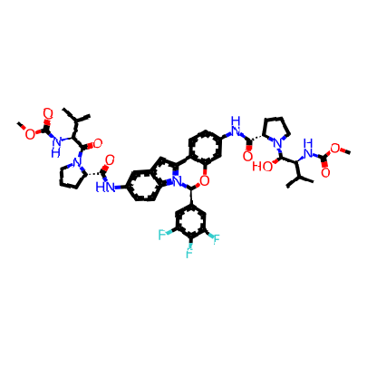 COC(=O)N[C@@H](C(C)C)C(O)N1CCC[C@H]1C(=O)Nc1ccc2c(c1)O[C@@H](c1cc(F)c(F)c(F)c1)n1c-2cc2cc(NC(=O)[C@@H]3CCCN3C(=O)[C@@H](NC(=O)OC)C(C)C)ccc21